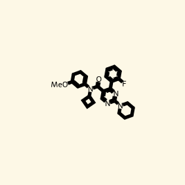 COC1=CC(N(C(=O)c2cnc(N3CCCCC3)nc2-c2ccccc2F)C2CCC2)=CCC1